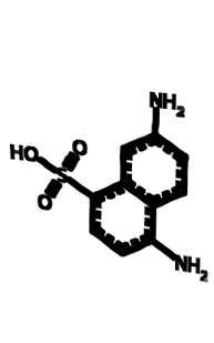 Nc1ccc2c(N)ccc(S(=O)(=O)O)c2c1